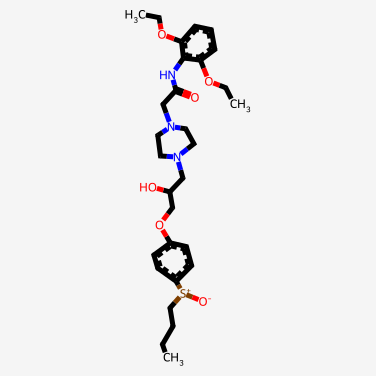 CCCC[S+]([O-])c1ccc(OCC(O)CN2CCN(CC(=O)Nc3c(OCC)cccc3OCC)CC2)cc1